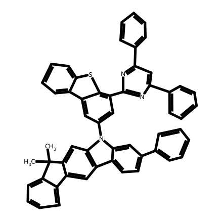 CC1(C)c2ccccc2-c2cc3c4ccc(-c5ccccc5)cc4n(-c4cc(-c5nc(-c6ccccc6)cc(-c6ccccc6)n5)c5sc6ccccc6c5c4)c3cc21